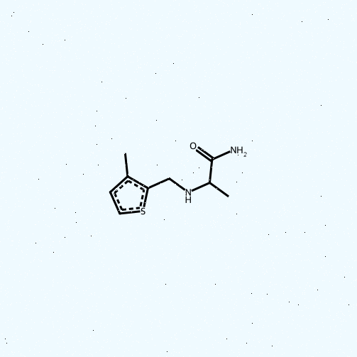 Cc1ccsc1CNC(C)C(N)=O